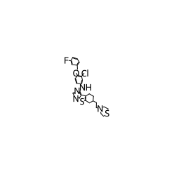 Fc1cccc(COc2ccc(Nc3ncnc4sc5c(c34)CCC(CCN3CCSCC3)C5)cc2Cl)c1